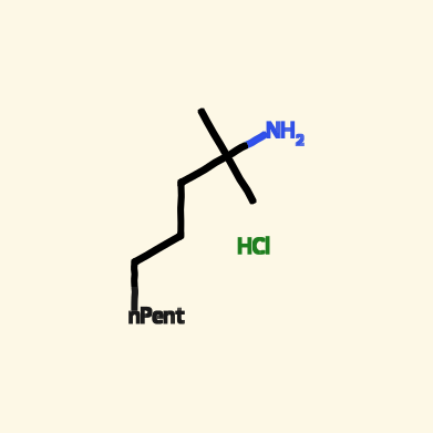 CCCCCCCCC(C)(C)N.Cl